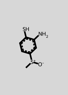 C[S+]([O-])c1ccc(S)c(N)c1